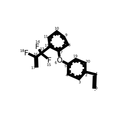 [CH]=Cc1ccc(Oc2ccccc2C(F)(F)C(=C)F)cc1